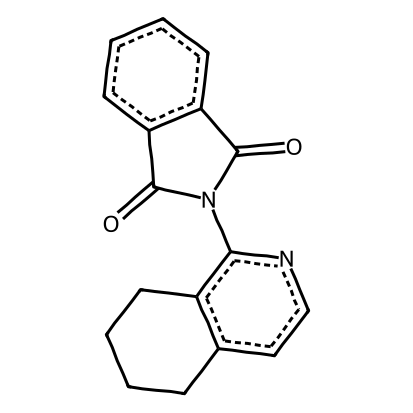 O=C1c2ccccc2C(=O)N1c1nccc2c1CCCC2